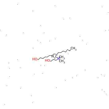 CCCCCCCCCCCCCCCCO.C[N+](C)(C)CCCO